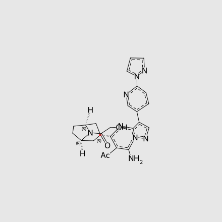 CC(=O)c1c([C@@H]2C[C@H]3CC[C@@H](C2)N3C(=O)CO)nc2c(-c3ccc(-n4cccn4)nc3)cnn2c1N